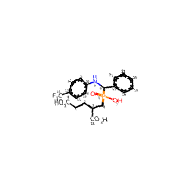 O=C(O)CCC(CP(=O)(O)C(Nc1ccc(C(F)(F)F)cc1)c1ccccc1)C(=O)O